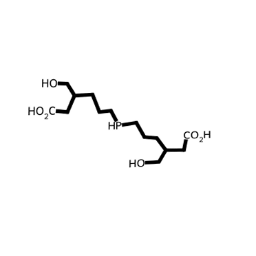 O=C(O)CC(CO)CCCPCCCC(CO)CC(=O)O